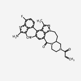 C=CC(=O)N1CCN2C(=O)c3cc(F)c(-c4ccc(F)c5sc(N)c(C#N)c45)c4c(C)nn(c34)CCC2C1